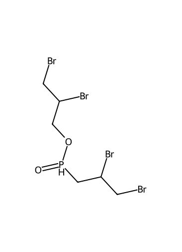 O=[PH](CC(Br)CBr)OCC(Br)CBr